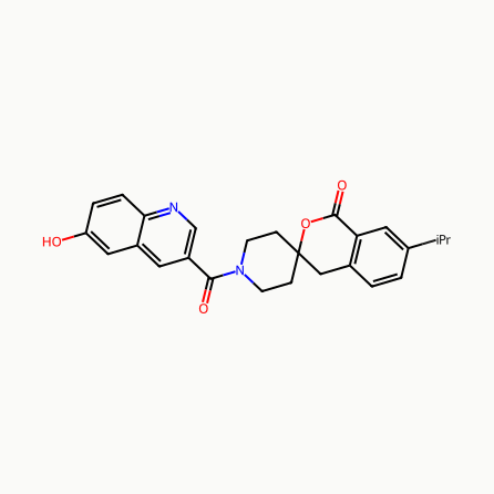 CC(C)c1ccc2c(c1)C(=O)OC1(CCN(C(=O)c3cnc4ccc(O)cc4c3)CC1)C2